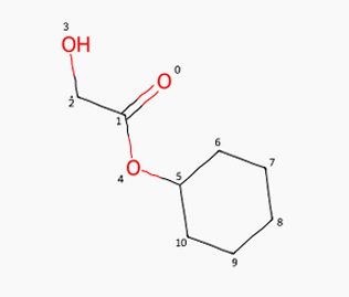 O=C([CH]O)OC1CCCCC1